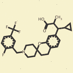 CC(C(=O)O)C(c1ccc2c(c1)OC1(CC2)CCN(Cc2cc(C(F)(F)F)ccc2F)CC1)C1CC1